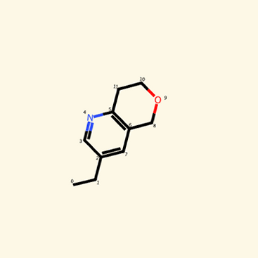 CCc1cnc2c(c1)COCC2